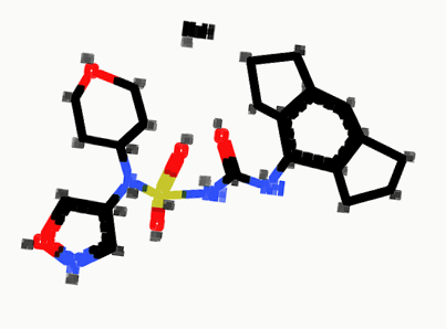 O=C(Nc1c2c(cc3c1CCC3)CCC2)NS(=O)(=O)N(c1cnoc1)C1CCOCC1.[NaH]